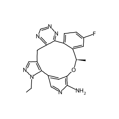 CCn1ncc2c1-c1cnc(N)c(c1)O[C@H](C)c1cc(F)ccc1-c1nncnc1C2